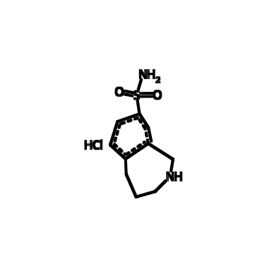 Cl.NS(=O)(=O)c1ccc2c(c1)CNCCC2